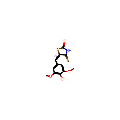 COc1cc(/C=C2/SC(=O)NC2=S)cc(OC)c1O